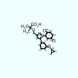 CC(C)(OCc1cc(-c2cccc(OC3CC3)c2)n(-c2cc(Cl)ccc2Cl)n1)C(=O)O